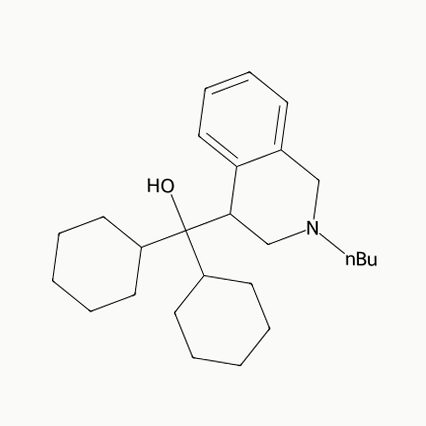 CCCCN1Cc2ccccc2C(C(O)(C2CCCCC2)C2CCCCC2)C1